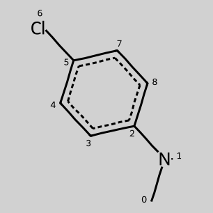 C[N]c1ccc(Cl)cc1